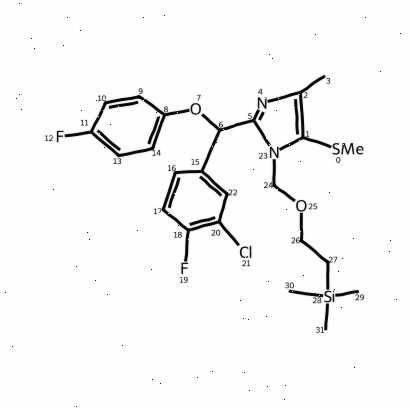 CSc1c(C)nc(C(Oc2ccc(F)cc2)c2ccc(F)c(Cl)c2)n1COCC[Si](C)(C)C